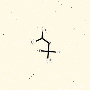 [CH2]C(F)(F)CC(C)C